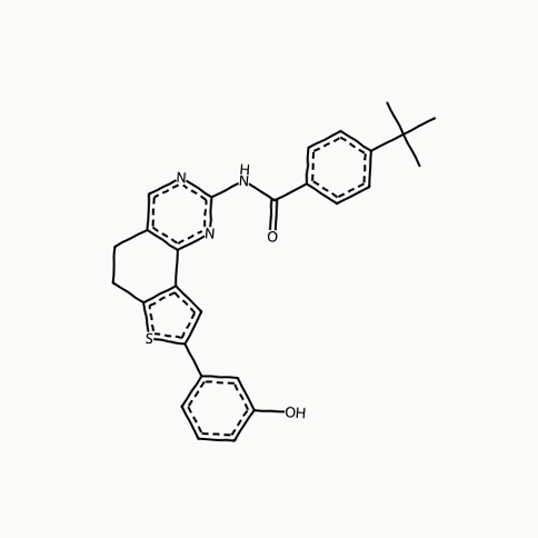 CC(C)(C)c1ccc(C(=O)Nc2ncc3c(n2)-c2cc(-c4cccc(O)c4)sc2CC3)cc1